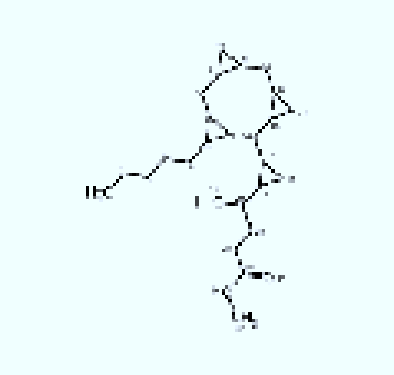 CCCCCC1CC1CC1CC1CC1CC1CC1CC1C(C)CCC(=O)OC